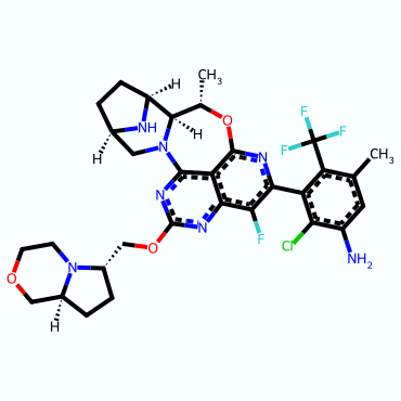 Cc1cc(N)c(Cl)c(-c2nc3c4c(nc(OC[C@@H]5CC[C@H]6COCCN65)nc4c2F)N2C[C@H]4CC[C@H](N4)[C@H]2[C@H](C)O3)c1C(F)(F)F